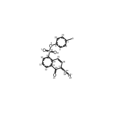 Cc1ccc(OS(=O)(=O)c2cccc3c2C=CC(=[N+]=[N-])C3=O)cc1